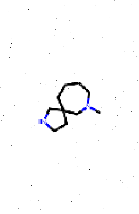 CN1CCCCC2(CCNC2)C1